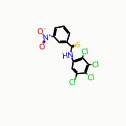 O=[N+]([O-])c1cccc(C(=S)Nc2cc(Cl)c(Cl)c(Cl)c2Cl)c1